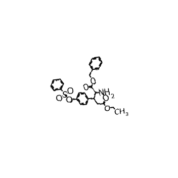 CCOC(=O)CC(c1ccc(OS(=O)(=O)c2ccccc2)cc1)C(N)C(=O)OCc1ccccc1